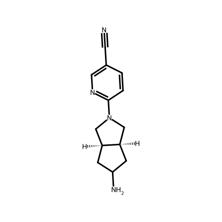 N#Cc1ccc(N2C[C@H]3CC(N)C[C@H]3C2)nc1